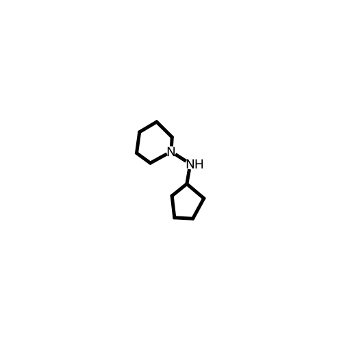 C1CCN(NC2CCCC2)CC1